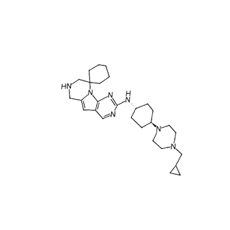 c1nc(N[C@H]2CC[C@H](N3CCN(CC4CC4)CC3)CC2)nc2c1cc1n2C2(CCCCC2)CNC1